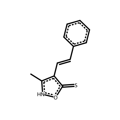 Cc1[nH]oc(=S)c1C=Cc1ccccc1